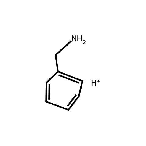 NCc1cc[c]cc1.[H+]